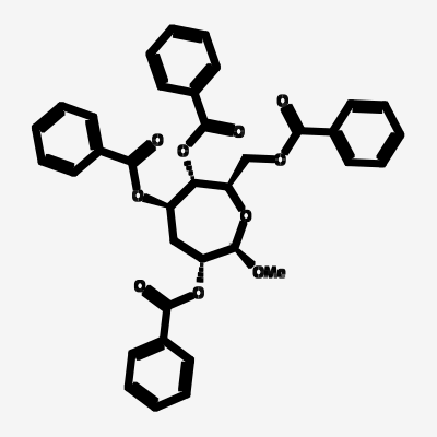 CO[C@@H]1O[C@H](COC(=O)c2ccccc2)[C@@H](OC(=O)c2ccccc2)[C@H](OC(=O)c2ccccc2)C[C@H]1OC(=O)c1ccccc1